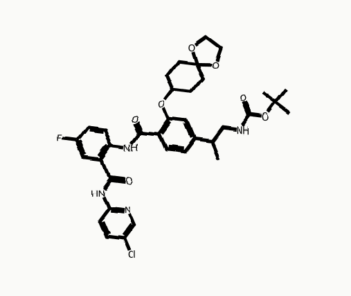 CC(CNC(=O)OC(C)(C)C)c1ccc(C(=O)Nc2ccc(F)cc2C(=O)Nc2ccc(Cl)cn2)c(OC2CCC3(CC2)OCCO3)c1